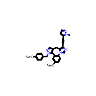 COc1ccc(Cn2ncc3c2-c2cc(OC)ccc2-n2cnc(C#Cc4ccnn4C)c2C3)cc1